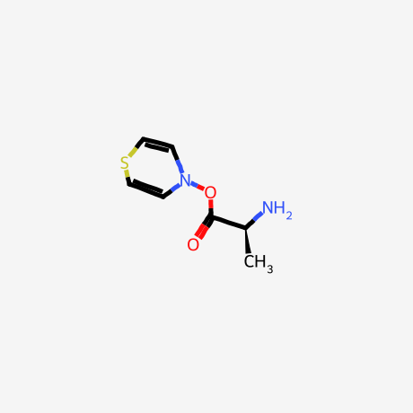 C[C@H](N)C(=O)ON1C=CSC=C1